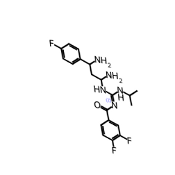 CC(C)N/C(=N/C(=O)c1ccc(F)c(F)c1)NC(N)CC(N)c1ccc(F)cc1